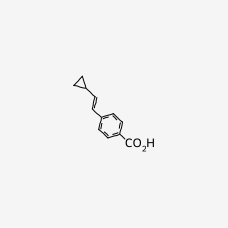 O=C(O)c1ccc(/C=C/C2CC2)cc1